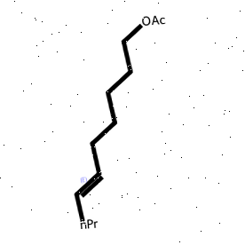 CCC/C=C/CCCCCOC(C)=O